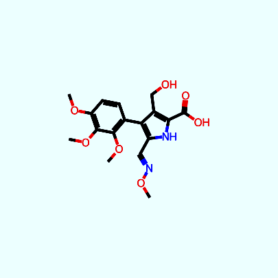 CO/N=C/c1[nH]c(C(=O)O)c(CO)c1-c1ccc(OC)c(OC)c1OC